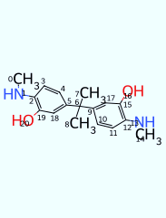 CNc1ccc(C(C)(C)c2ccc(NC)c(O)c2)cc1O